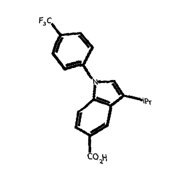 CC(C)c1cn(-c2ccc(C(F)(F)F)cc2)c2ccc(C(=O)O)cc12